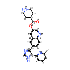 Cc1cccc(-c2[nH]cnc2-c2ccc3ncc(OC(=O)C4CCNCC4)cc3c2)n1